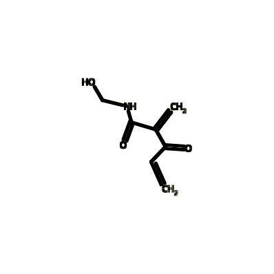 C=CC(=O)C(=C)C(=O)NCO